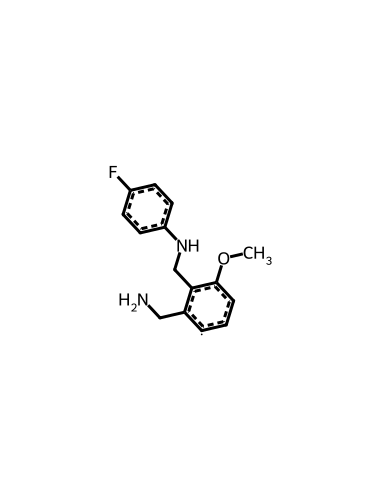 COc1cc[c]c(CN)c1CNc1ccc(F)cc1